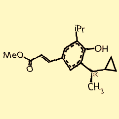 COC(=O)C=Cc1cc(C(C)C)c(O)c([C@H](C)C2CC2)c1